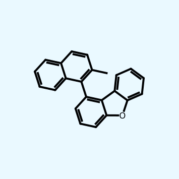 Cc1ccc2ccccc2c1-c1cccc2oc3ccccc3c12